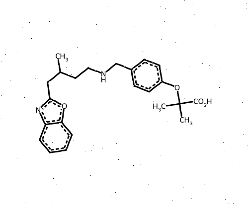 CC(CCNCc1ccc(OC(C)(C)C(=O)O)cc1)Cc1nc2ccccc2o1